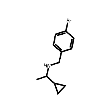 CC(NCc1ccc(Br)cc1)C1CC1